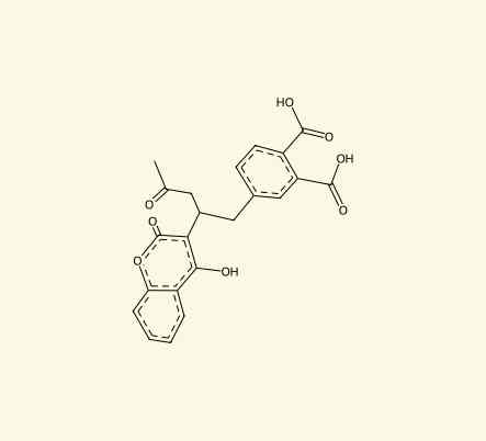 CC(=O)CC(Cc1ccc(C(=O)O)c(C(=O)O)c1)c1c(O)c2ccccc2oc1=O